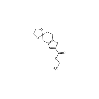 CCOC(=O)c1cc2c(s1)CCC1(C2)OCCO1